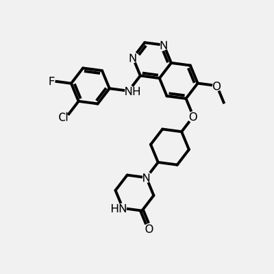 COc1cc2ncnc(Nc3ccc(F)c(Cl)c3)c2cc1OC1CCC(N2CCNC(=O)C2)CC1